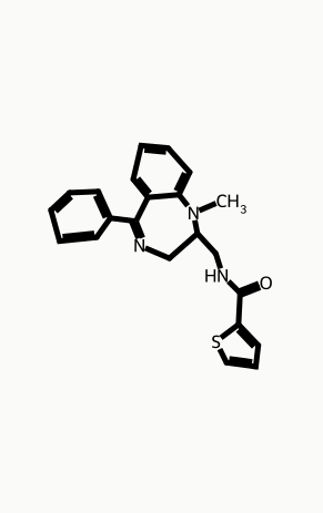 CN1c2ccccc2C(c2ccccc2)=NCC1CNC(=O)c1cccs1